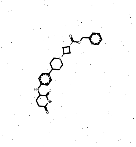 O=C1CCC(Nc2ccc(C3CCN([C@H]4C[C@@H](C(=O)OCc5ccccc5)C4)CC3)cc2)C(=O)N1